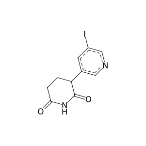 O=C1CCC(c2cncc(I)c2)C(=O)N1